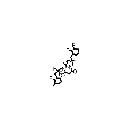 Cc1cccc(CC(F)(F)CN2C(=O)CC(=O)N(CC(F)(F)Cc3cccc(F)c3F)C2=O)c1F